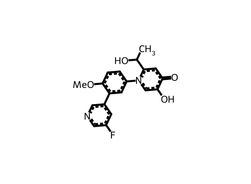 COc1ccc(-n2cc(O)c(=O)cc2C(C)O)cc1-c1cncc(F)c1